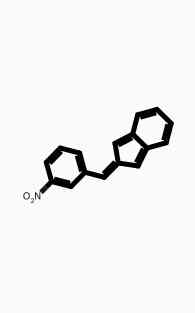 O=[N+]([O-])c1cccc(C=C2C=c3ccccc3=C2)c1